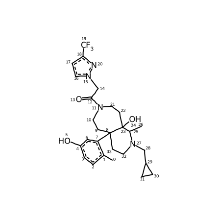 Cc1ccc(O)cc1C12CCN(C(=O)Cn3ccc(C(F)(F)F)n3)CCC1(O)C(C)N(CC1CC1)CC2